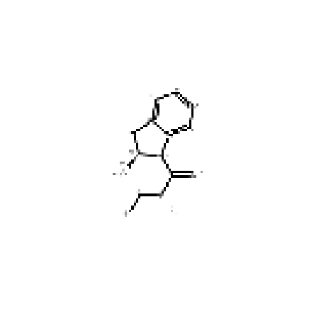 C[C@H](CS)C(=O)N1c2ccccc2C[C@@H]1C(=O)O